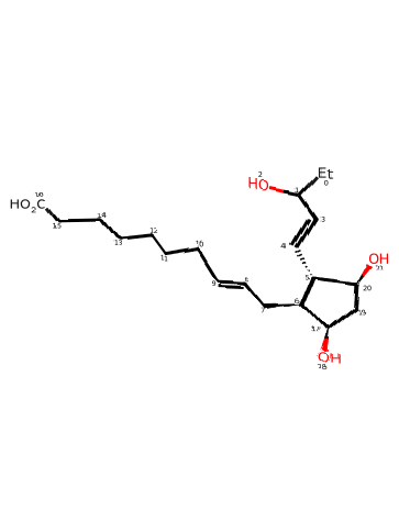 CCC(O)C=C[C@H]1[C@H](CC=CCCCCCCC(=O)O)[C@H](O)C[C@@H]1O